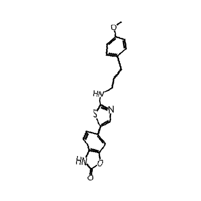 COc1ccc(CCCNc2ncc(-c3ccc4[nH]c(=O)oc4c3)s2)cc1